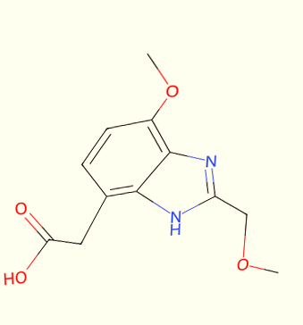 COCc1nc2c(OC)ccc(CC(=O)O)c2[nH]1